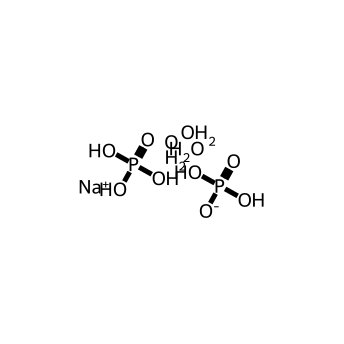 O.O.O.O=P(O)(O)O.O=P([O-])(O)O.[Na+]